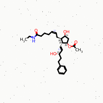 CCNC(=O)CCC/C=C\C[C@@H]1[C@@H](/C=C/[C@@H](O)CCc2ccccc2)[C@H](OC(C)=O)C[C@@H]1O